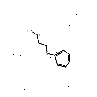 CCCNCCSc1ccccc1